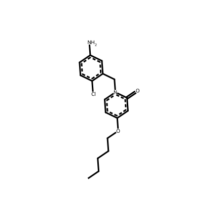 CCCCCOc1ccn(Cc2cc(N)ccc2Cl)c(=O)c1